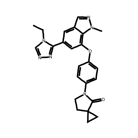 CCn1cnnc1-c1cc(Oc2ccc(N3CCC4(CC4)C3=O)cc2)c2c(cnn2C)c1